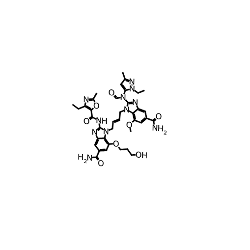 CCc1nc(C)oc1C(=O)Nc1nc2cc(C(N)=O)cc(OCCCO)c2n1CC=CCn1c(N(C=O)c2cc(C)nn2CC)nc2cc(C(N)=O)cc(OC)c21